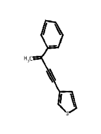 C=C(C#Cc1ccsc1)c1ccccc1